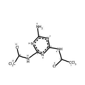 Nc1nc(NC(Cl)C(Cl)(Cl)Cl)nc(NC(Cl)C(Cl)(Cl)Cl)n1